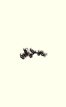 C#Cc1c(F)ccc2cccc(-c3ncc4c(N5CC6CCC(C5)N6C(=O)OC(C)(C)C)nc(OC[C@@]56CCCN5[C@H](CC5CN(CCCc7cccc8c7n(C)c(=O)n8C7CCC(=O)NC7=O)CC7(CCN(C(=O)O)CC7)O5)CC6)nc4c3F)c12